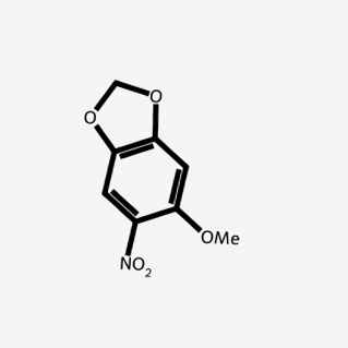 COc1cc2c(cc1[N+](=O)[O-])OCO2